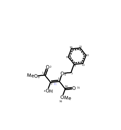 COC(=O)/C(O)=C(\OCc1ccccc1)C(=O)OC